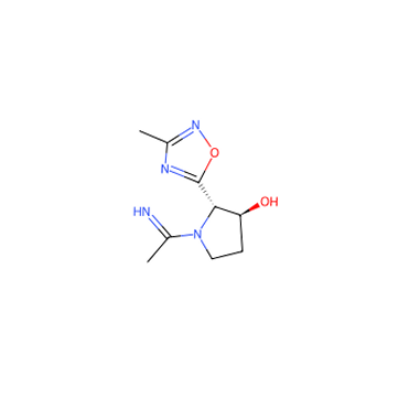 CC(=N)N1CC[C@H](O)[C@H]1c1nc(C)no1